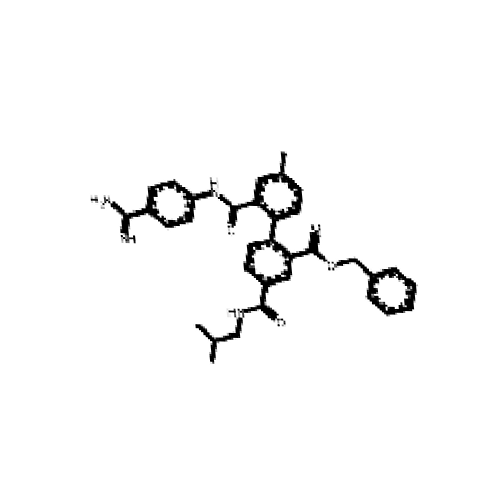 Cc1ccc(-c2ccc(C(=O)NCC(C)C)cc2C(=O)OCc2ccccc2)c(C(=O)Nc2ccc(C(=N)N)cc2)c1